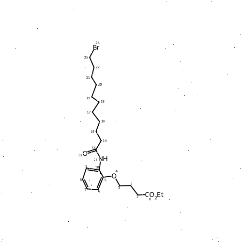 CCOC(=O)CCCOc1ccccc1NC(=O)CCCCCCCCCCBr